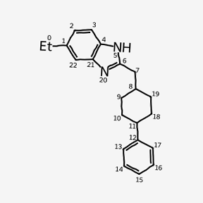 CCc1ccc2[nH]c(CC3CCC(c4ccccc4)CC3)nc2c1